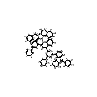 c1ccc(-c2cccc(-c3cc(-c4nc(-c5ccccc5)nc(-c5cccc6c5c5ccccc5n6-c5ccccc5)n4)c4ccccc4c3-n3c4cc5ccccc5cc4c4ccc5ccccc5c43)c2)cc1